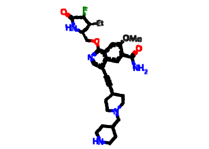 CC[C@@H]1[C@H](F)C(=O)N[C@@H]1COc1ncc(C#CC2CCN(CC3CCNCC3)CC2)c2cc(C(N)=O)c(OC)cc12